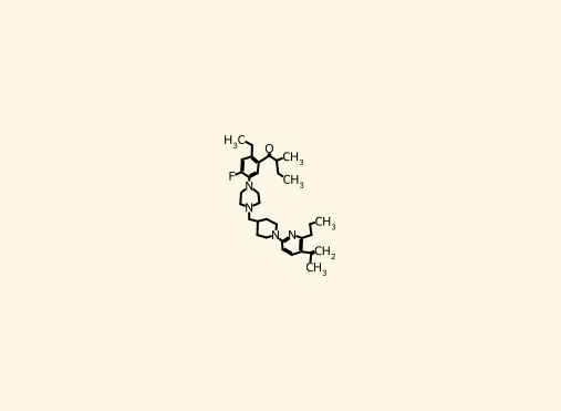 C=C(C)c1ccc(N2CCC(CN3CCN(c4cc(C(=O)C(C)CC)c(CC)cc4F)CC3)CC2)nc1CCC